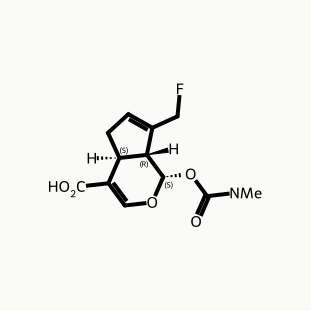 CNC(=O)O[C@@H]1OC=C(C(=O)O)[C@H]2CC=C(CF)[C@H]12